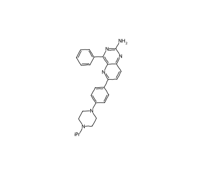 CC(C)N1CCN(c2ccc(-c3ccc4nc(N)nc(-c5ccccc5)c4n3)cc2)CC1